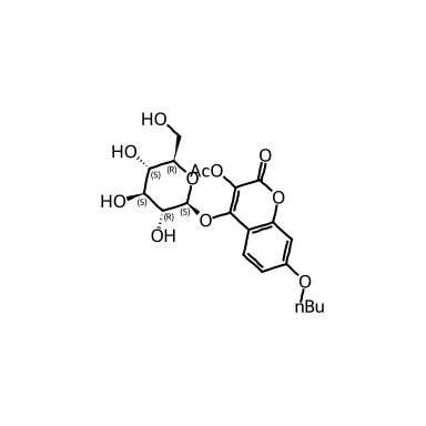 CCCCOc1ccc2c(O[C@@H]3O[C@H](CO)[C@@H](O)[C@H](O)[C@H]3O)c(OC(C)=O)c(=O)oc2c1